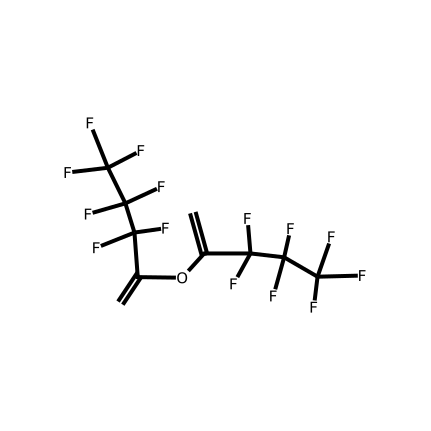 C=C(OC(=C)C(F)(F)C(F)(F)C(F)(F)F)C(F)(F)C(F)(F)C(F)(F)F